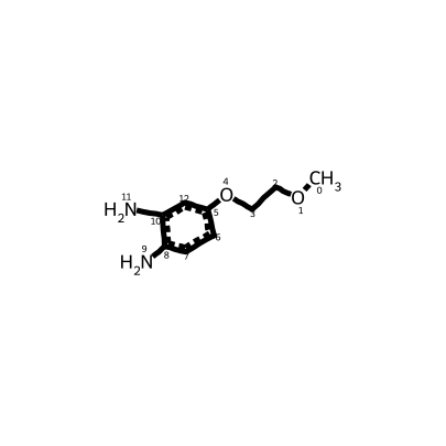 COCCOc1ccc(N)c(N)c1